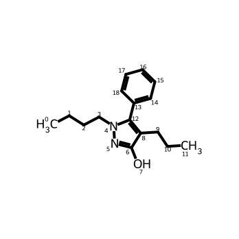 CCCCn1nc(O)c(CCC)c1-c1ccccc1